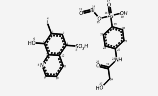 O=S(=O)(O)c1cc(I)c(O)c2ncccc12.[O]=[Bi][O][As](=O)(O)c1ccc(NC(=O)CO)cc1